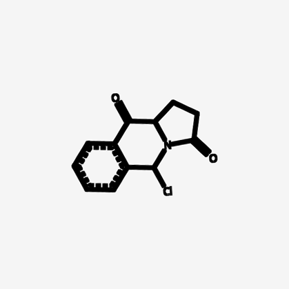 O=C1c2ccccc2C(Cl)N2C(=O)CCC12